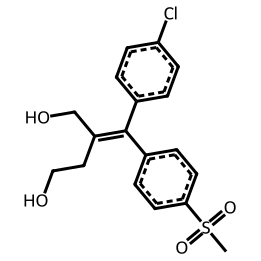 CS(=O)(=O)c1ccc(/C(=C(/CO)CCO)c2ccc(Cl)cc2)cc1